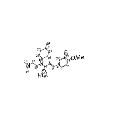 COc1ccc(C=CC(=O)N(CCN(C)C)C2CCC(C)CC2)cc1F.Cl